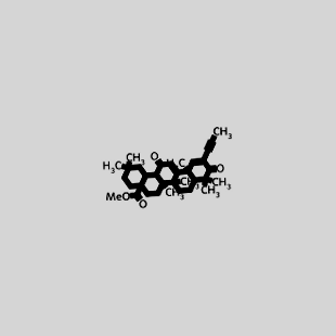 CC#CC1=CC2(C)C3=CC(=O)C4C5CC(C)(C)CCC5(C(=O)OC)CCC4(C)C3(C)CCC2C(C)(C)C1=O